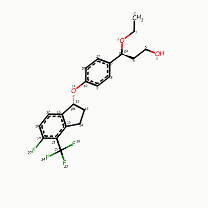 CCO[C@@H](CCO)c1ccc(O[C@@H]2CCc3c2ccc(F)c3C(F)(F)F)cc1